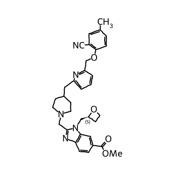 COC(=O)c1ccc2nc(CN3CCC(Cc4cccc(COc5ccc(C)cc5C#N)n4)CC3)n(C[C@@H]3CCO3)c2c1